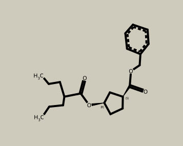 CCCC(CCC)C(=O)O[C@@H]1CC[C@H](C(=O)OCc2ccccc2)C1